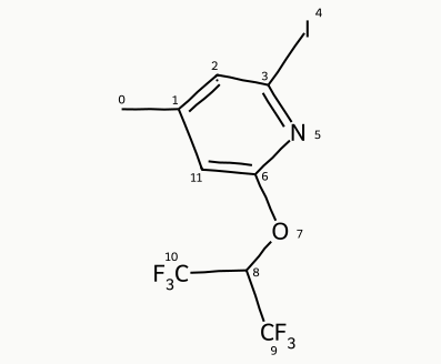 Cc1[c]c(I)nc(OC(C(F)(F)F)C(F)(F)F)c1